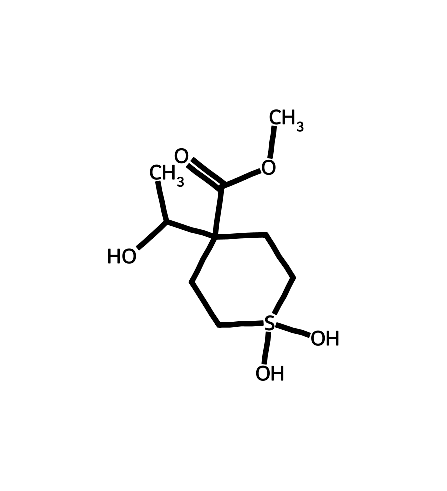 COC(=O)C1(C(C)O)CCS(O)(O)CC1